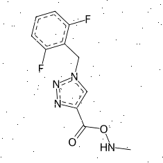 CNOC(=O)c1cn(Cc2c(F)cccc2F)nn1